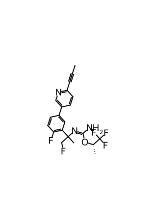 CC#Cc1ccc(-c2ccc(F)c(C(C)(CF)/N=C(/N)O[C@@H](C)C(F)(F)F)c2)cn1